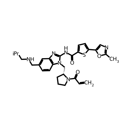 C=CC(=O)N1CCC[C@@H]1Cn1c(NC(=O)c2ccc(-c3cnc(C)o3)s2)nc2cc(CNCC(C)C)ccc21